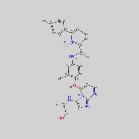 C[C@@H](CO)Nc1cnc2nccc(Oc3ccc(NC(=O)c4cccc(-c5ccc(F)cc5)[n+]4O)cc3F)n12